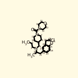 CCCN(CC1CCN(C(=O)N2CCOCC2)CC1)C(C)Cc1ccc2c(c1)CCO2.Cl